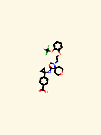 CN(CCOc1ccccc1OC(F)(F)F)C1(C(=O)NC2(c3ccc(C(=O)O)cc3)CC2)CCOCC1